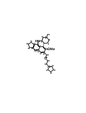 COc1cc2c(N[C@@H]3CCCN(C)C3)c3c(nc2cc1COCCN1CCCC1)CCC3